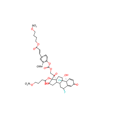 COc1cc(/C=C/C(=O)OCCCCO[N+](=O)[O-])ccc1OC(=O)OCC(=O)[C@@]1(OC(=O)CCCO[N+](=O)[O-])[C@H](O)CC2C3C[C@H](F)C4=CC(=O)C=C[C@]4(C)[C@@]3(F)[C@@H](O)C[C@@]21C